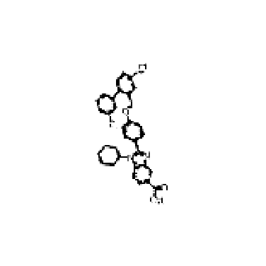 O=C(O)c1ccc2c(c1)nc(-c1ccc(OCc3cc(Cl)ccc3-c3cccc(Cl)c3)cc1)n2C1CCCCC1